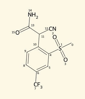 CS(=O)(=O)c1cc(C(F)(F)F)ccc1C(C#N)C(N)=O